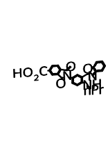 CCCNc1ccc(N2C(=O)c3ccc(C(=O)O)cc3C2=O)cc1-c1nc2ccccc2o1